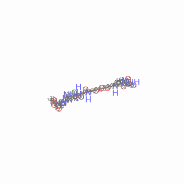 C[C@@H]1OCC2(CCN(c3cnc(Sc4cccc(NC(=O)CCC(=O)NCCCOCCOCCOCCCNc5ccc6cnn(C7CCC(=O)NC7=O)c(=O)c6c5)c4Cl)c(N)n3)CC2)[C@@H]1NC(=O)OC(C)(C)C